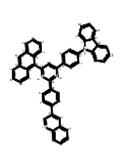 c1ccc2ncc(-c3ccc(-c4nc(-c5ccc(-n6c7ccccc7c7ccccc76)cc5)cc(-c5c6ccccc6cc6ccccc56)n4)cc3)cc2c1